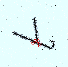 CC/C=C\C/C=C\C/C=C\CCCCCCCC(=O)OC[C@H](COC(=O)CCCCCCCCCCCCCCCCC)OCCCCCCCCCCCCCCCCCC